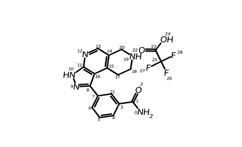 NC(=O)c1cccc(-c2n[nH]c3ncc4c(c23)CCNC4)c1.O=C(O)C(F)(F)F